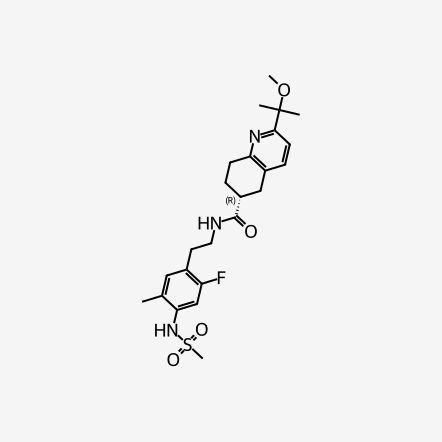 COC(C)(C)c1ccc2c(n1)CC[C@@H](C(=O)NCCc1cc(C)c(NS(C)(=O)=O)cc1F)C2